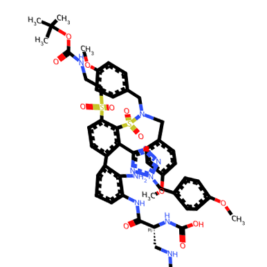 COc1ccc(CN(Cc2ccc(OC)cc2)S(=O)(=O)c2c(S(=O)(=O)CCNC(=O)OC(C)(C)C)ccc(-c3cccc(NC(=O)[C@@H](CNC(=O)O)NC(=O)O)c3N)c2-c2nnn(Cc3ccc(OC)cc3)n2)cc1